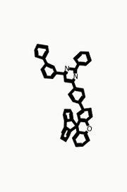 c1ccc(-c2cccc(-c3cc(-c4ccc(-c5ccc6c(c5)C5(c7ccccc7O6)c6ccccc6-c6ccccc65)cc4)nc(-c4ccccc4)n3)c2)cc1